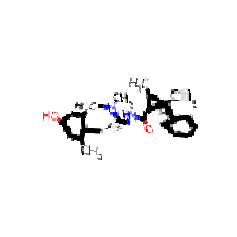 Cc1cc(O)ccc1C[C@@H](CNC(=O)C1C(C)[C@]1(C)c1ccccc1)N(C)C